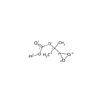 CC(C)OC(=O)OC(C)(C)C1OO1